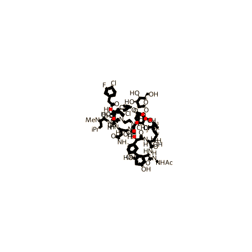 CN[C@H](CC(C)C)C(=O)N[C@H]1C(=O)N[C@@H](CC(N)=O)C(=O)N[C@H]2C(=O)N[C@H]3C(=O)N[C@H](C(=O)N[C@@H](C(=O)NNC(C)=O)c4cc(O)cc(O)c4-c4cc3ccc4O)[C@H](O)c3ccc(c(Cl)c3)Oc3cc2cc(c3O[C@@H]2O[C@H](CO)[C@@H](O)[C@H](O)[C@H]2O[C@H]2C[C@](C)(NCCn3ccc(NC(=O)Cc4ccc(Cl)c(F)c4)nc3=O)[C@H](O)[C@H](C)O2)Oc2ccc(cc2Cl)[C@H]1O